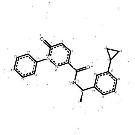 C[C@@H](NC(=O)c1ccc(=O)n(-c2ccccc2)n1)c1cccc(C2CC2)c1